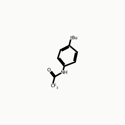 CC(C)(C)c1ccc(NC(=O)C(F)(F)F)cc1